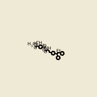 CCC(=C(c1ccccc1)c1ccc(C=CC(=O)NS(=O)(=O)c2ccc(C(=O)N(C)C)cc2)cc1)c1ccccc1